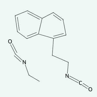 CCN=C=O.O=C=NCCc1cccc2ccccc12